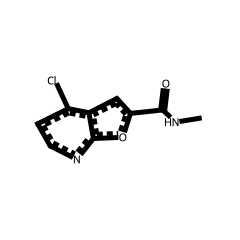 CNC(=O)c1cc2c(Cl)ccnc2o1